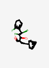 O=[C]C(=Cc1ccccc1)C(=O)C(F)=C(F)c1ccccc1F